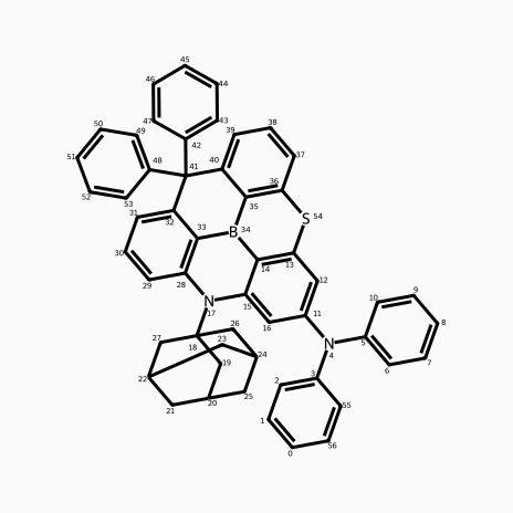 c1ccc(N(c2ccccc2)c2cc3c4c(c2)N(C25CC6CC(CC(C6)C2)C5)c2cccc5c2B4c2c(cccc2C5(c2ccccc2)c2ccccc2)S3)cc1